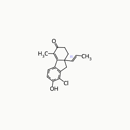 C/C=C/C12CCC(=O)C(C)=C1c1ccc(O)c(Cl)c1C2